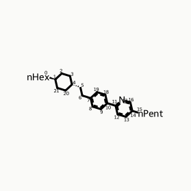 CCCCCC[C@H]1CC[C@H](CCc2ccc(-c3ccc(CCCCC)cn3)cc2)CC1